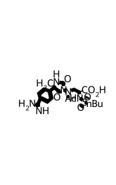 CCCCS(=O)(=O)N[C@H](CN(C(C)=O)N1C(=O)N[C@](C)(c2ccc(C(=N)N)cc2)C1=O)C(=O)O